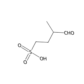 CC(C=O)CCS(=O)(=O)O